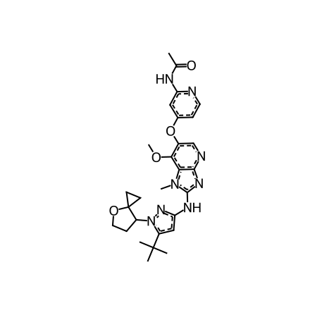 COc1c(Oc2ccnc(NC(C)=O)c2)cnc2nc(Nc3cc(C(C)(C)C)n(C4CCOC45CC5)n3)n(C)c12